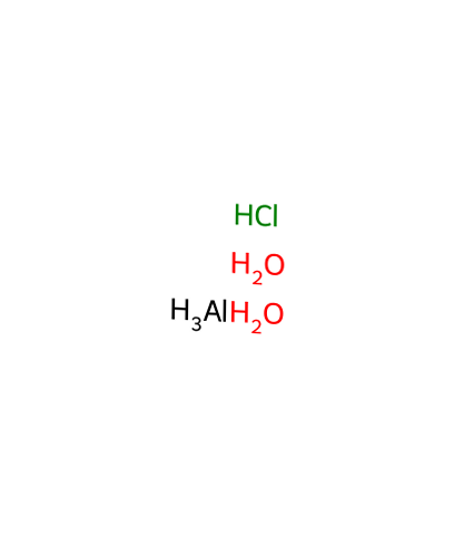 Cl.O.O.[AlH3]